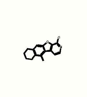 Cc1c2c(cc3oc4c(Cl)nccc4c13)CCCC2